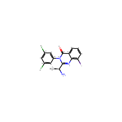 C[C@H](N)c1nc2c(I)cccc2c(=O)n1-c1cc(F)cc(F)c1